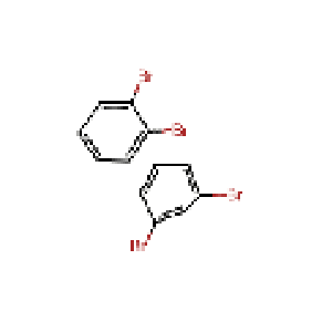 Brc1cccc(Br)c1.Brc1ccccc1Br